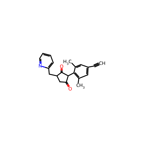 C#Cc1cc(C)c(C2C(=O)CC(Cc3ccccn3)C2=O)c(C)c1